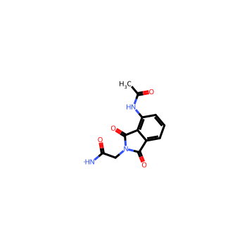 CC(=O)Nc1cccc2c1C(=O)N(CC([NH])=O)C2=O